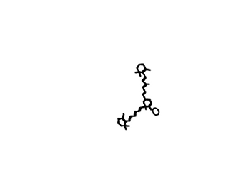 CC1=C(/C=C/C=C/C=C/C2(C)CC(/C=C/C=C(C)/C=C/C3=C(C)CCCC3(C)C)=CC=C2C=O)C(C)(C)CCC1